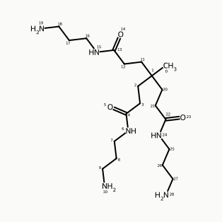 CC(CCC(=O)NCCCN)(CCC(=O)NCCCN)CCC(=O)NCCCN